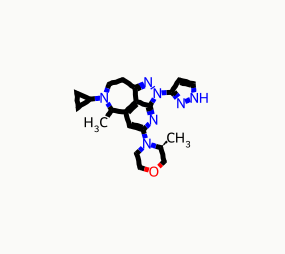 CC1c2cc(N3CCOC[C@H]3C)nc3c2c(nn3-c2cc[nH]n2)CCN1C1CC1